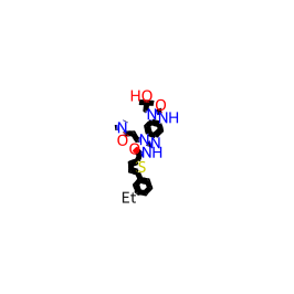 CCC1=CC(c2ccc(C(=O)Nc3nc4cc5[nH]c(=O)n(CC(C)(C)O)c5cc4n3CCC(=O)N(C)C)s2)=CCC1